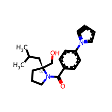 CC(C)C[C@]1(CO)CCCN1C(=O)c1ccc(-n2c#ccc2)cc1